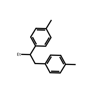 CCC(Cc1ccc(C)cc1)c1ccc(C)cc1